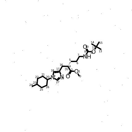 COC(=O)[C@@H](CCCNC(=O)OC(C)(C)C)Cc1cn(C2CCC(C)CC2)cn1